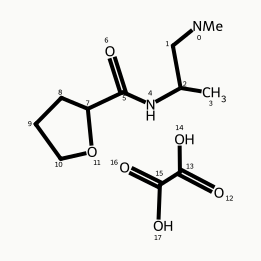 CNCC(C)NC(=O)C1CCCO1.O=C(O)C(=O)O